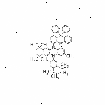 Cc1cc2c3c(c1)N1c4ccccc4[Si](c4ccccc4)(c4ccccc4)c4cccc(c41)B3c1cc3c(cc1N2c1ccc2c(c1)C(C)(C)CCC2(C)C)C(C)(C)CCC3(C)C